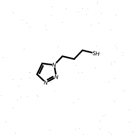 SCCCn1ccnn1